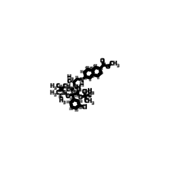 COC(=O)c1ccc2cc(NC[C@@H](C)NC[C@](O[Si](C)(C)C(C)(C)C)(C(=O)OC(C)(C)C)c3cccc(Cl)c3)ccc2c1